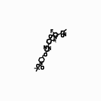 Cc1cc(-c2cc(F)c(=O)n([C@H](C)c3cccc(-c4ncc(OCC5CCN(C(=O)OC(C)(C)C)CC5)cn4)c3)c2)on1